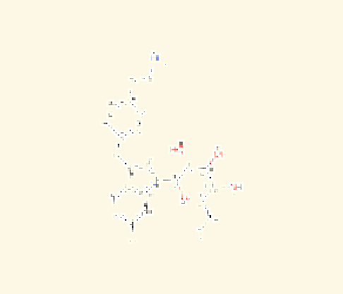 Cc1ccc2c(Cc3ccc(CCN)cc3)cn([C@@H]3O[C@H](CO)[C@@H](O)[C@H](O)[C@H]3O)c2c1